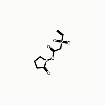 C=CS(=O)(=O)CC(=O)ON1CCCC1=O